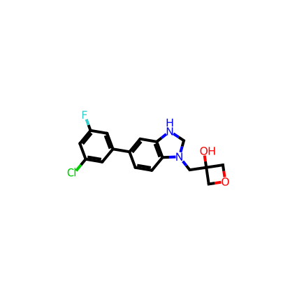 OC1(CN2CNc3cc(-c4cc(F)cc(Cl)c4)ccc32)COC1